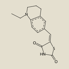 CCN1CCCc2cc(C=C3SC(=O)NC3=O)ccc21